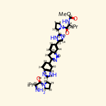 COC(=O)N[C@H](C(=O)N1CCC[C@H]1c1ncc(-c2ccc3cc(-c4ccc5nc([C@@H]6CCCN6C(=O)[C@@H](N)C(C)C)[nH]c5c4)nnc3c2)[nH]1)C(C)C